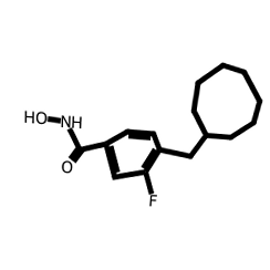 O=C(NO)c1ccc(CC2CCCCCCC2)c(F)c1